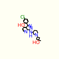 CC1(O)CC(N2CCCC(Nc3nnc(-c4ccc(Cl)cc4O)c4cccnc34)C2)C1